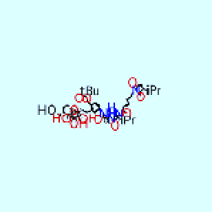 CC(C)C1CC(=O)N(CCCCCC(=O)N[C@H](C(=O)N[C@@H](C)C(=O)Nc2ccc(COC(=O)C(C)(C)C)c(CC[C@@H]3O[C@H](C(=O)O)[C@@H](O)[C@H](O)[C@H]3O)c2)C(C)C)C1=O